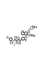 COc1c(OCC2CCNCC2)cc2ncccc2c1Oc1ccc(NC(=O)C(=O)NCc2ccc(F)cc2C(F)(F)F)cc1F